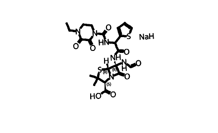 CCN1CCN(C(=O)NC(C(=O)N[C@]2(NC=O)C(=O)N3[C@@H](C(=O)O)C(C)(C)S[C@@H]32)c2cccs2)C(=O)C1=O.[NaH]